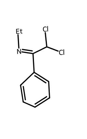 CCN=C(c1ccccc1)C(Cl)Cl